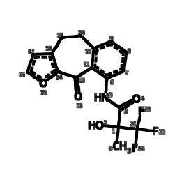 CC(O)(C(=O)Nc1cccc2c1C(=O)c1occc1CC2)C(F)(F)F